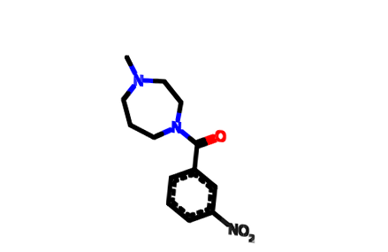 CN1CCCN(C(=O)c2cccc([N+](=O)[O-])c2)CC1